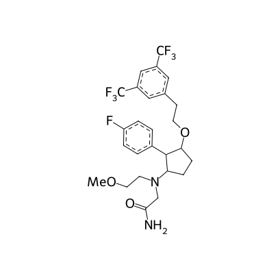 COCCN(CC(N)=O)C1CCC(OCCc2cc(C(F)(F)F)cc(C(F)(F)F)c2)C1c1ccc(F)cc1